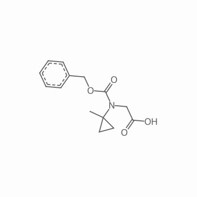 CC1(N(CC(=O)O)C(=O)OCc2ccccc2)CC1